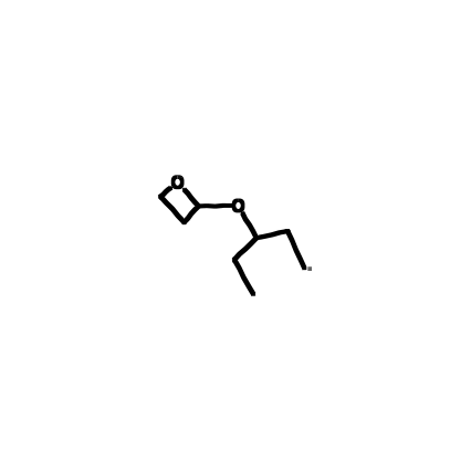 [CH2]CC(CC)OC1CCO1